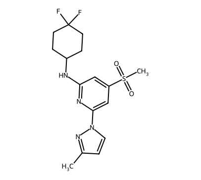 Cc1ccn(-c2cc(S(C)(=O)=O)cc(NC3CCC(F)(F)CC3)n2)n1